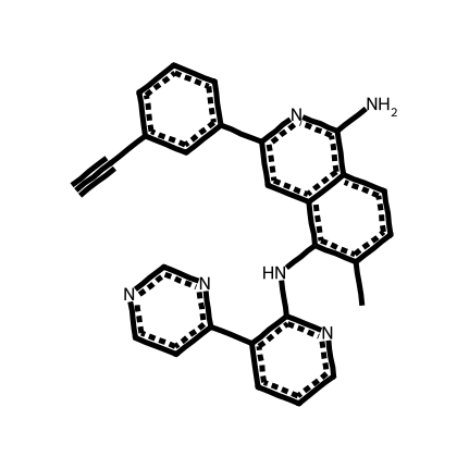 C#Cc1cccc(-c2cc3c(Nc4ncccc4-c4ccncn4)c(C)ccc3c(N)n2)c1